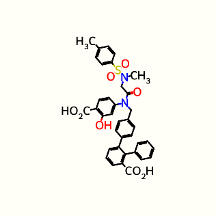 Cc1ccc(S(=O)(=O)N(C)CC(=O)N(Cc2ccc(-c3cccc(C(=O)O)c3-c3ccccc3)cc2)c2ccc(C(=O)O)c(O)c2)cc1